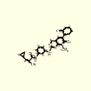 Cn1c(=O)c(-c2ccccc2Cl)cc2cnc(Nc3cccc(NC(=O)/C(C#N)=C\C4CC4)c3)nc21